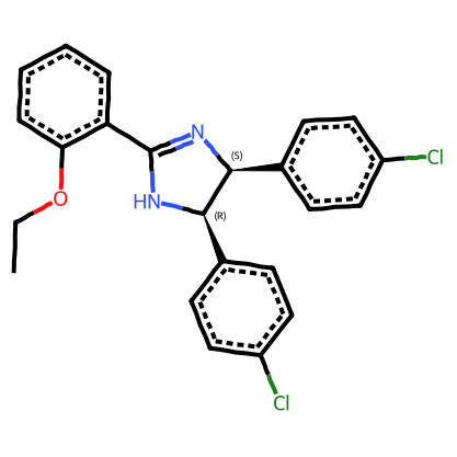 CCOc1ccccc1C1=N[C@@H](c2ccc(Cl)cc2)[C@@H](c2ccc(Cl)cc2)N1